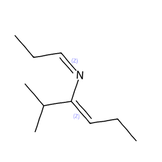 CC/C=N\C(=C/CC)C(C)C